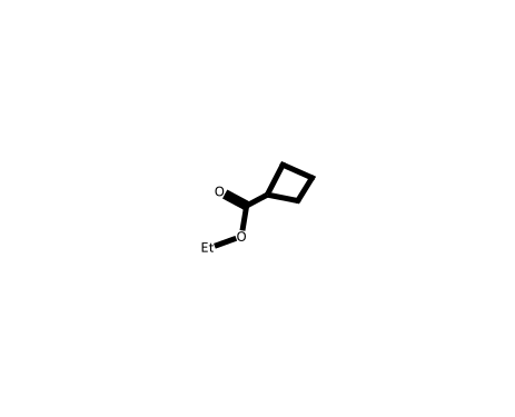 CCOC(=O)[C]1CCC1